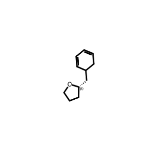 C1=CCC(C[C@@H]2CCCO2)C=C1